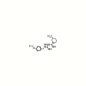 CC1CCCN(C(=N)NC(=N)NCc2ccc(OCF)cc2)C1